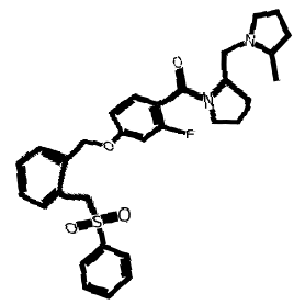 CC1CCCN1CC1CCCN1C(=O)c1ccc(OCc2ccccc2CS(=O)(=O)c2ccccc2)cc1F